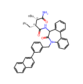 CCCC[C@H](C(N)=O)[C@@H](CC(C)C)C(=O)NC1C(=O)N(Cc2cccc(-c3ccc4ccccc4c3)c2)c2ccccc2-c2ccccc21